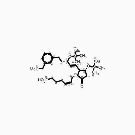 COCc1cccc(CC[C@@H](/C=C/C2[C@H](O[Si](C)(C)C(C)(C)C)CC(=O)[C@@H]2C/C=C\CCCC(=O)O)O[Si](C)(C)C(C)(C)C)c1